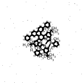 Cc1cccc(C)c1B1c2cc(C(C)(C)C)cc3c2-n2c4c1c1cc(C(C)(C)C)cc5c6c7c8cc(-c9ccccc9)ccc8c8ccc(-c9ccccc9)cc8c7c7c8cc(C(C)(C)C)cc9c(c2n(c98)c7c6n4c15)B3c1c(C)cccc1C